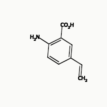 C=Cc1ccc(N)c(C(=O)O)c1